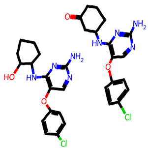 Nc1ncc(Oc2ccc(Cl)cc2)c(NC2CCCC(=O)C2)n1.Nc1ncc(Oc2ccc(Cl)cc2)c(NC2CCCCC2O)n1